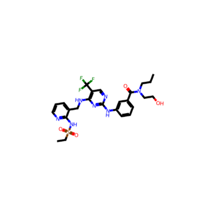 CCCN(CCO)C(=O)c1cccc(Nc2ncc(C(F)(F)F)c(NCc3cccnc3NS(=O)(=O)CC)n2)c1